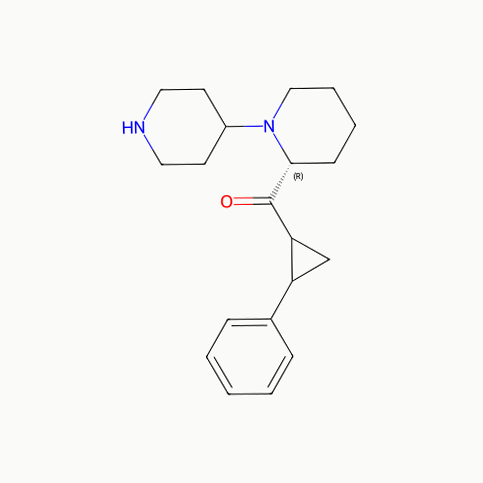 O=C(C1CC1c1ccccc1)[C@H]1CCCCN1C1CCNCC1